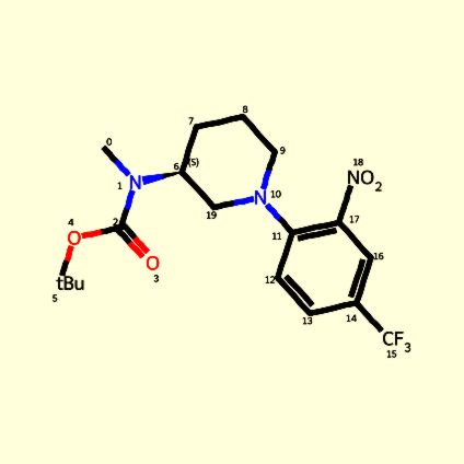 CN(C(=O)OC(C)(C)C)[C@H]1CCCN(c2ccc(C(F)(F)F)cc2[N+](=O)[O-])C1